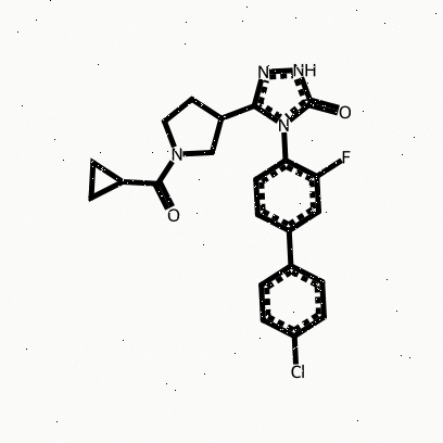 O=C(C1CC1)N1CCC(c2n[nH]c(=O)n2-c2ccc(-c3ccc(Cl)cc3)cc2F)C1